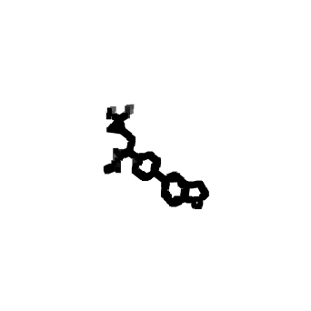 C=N/N=C(/CC1CC1(F)F)N1C=CC(c2ccc3c(c2)CCO3)=CC1